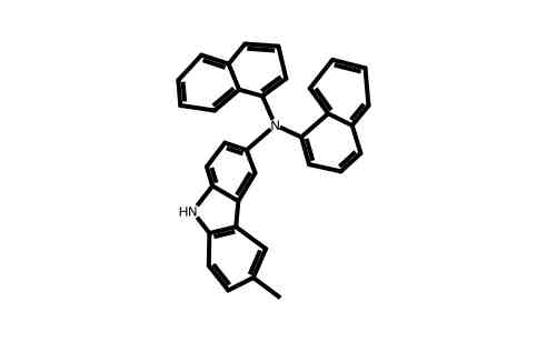 Cc1ccc2[nH]c3ccc(N(c4cccc5ccccc45)c4cccc5ccccc45)cc3c2c1